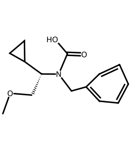 COC[C@H](C1CC1)N(Cc1ccccc1)C(=O)O